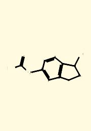 CC(=O)Nc1ccc2c(c1)CCC2O